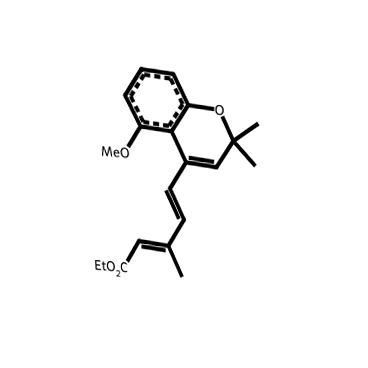 CCOC(=O)C=C(C)C=CC1=CC(C)(C)Oc2cccc(OC)c21